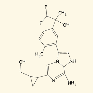 Cc1ccc(C(C)(O)C(F)F)cc1C1=CNC2C(N)=NC(C3CC3CO)=CN12